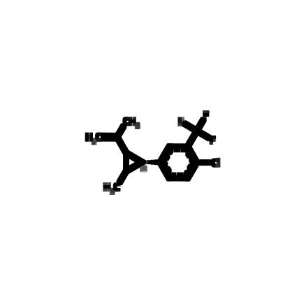 C=C(C)C1C(C)[C@H]1c1ccc(Cl)c(C(F)(F)F)c1